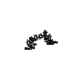 COC(=O)N[C@H](C(=O)N1CCCC[C@H]1c1ncc(-c2ccc(-c3ccc(-c4[nH]c([C@@H]5CCCN5C(=O)[C@@H](NC(=O)OC)[C@@H](C)OC)c5c4COC5)cc3)cc2)[nH]1)C(C)C